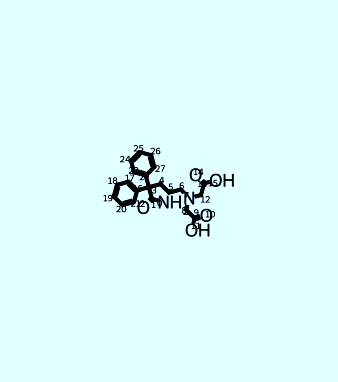 NC(=O)C(CCCN(CC(=O)O)CC(=O)O)(c1ccccc1)c1ccccc1